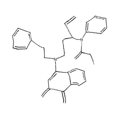 C=CC(CCN(CCc1ccccc1)c1cc(=C)c(=C)c2ccccc12)N(C(=C)CC)c1ccccc1